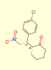 O=C1CCCC[C@@H]1[C@H](C[N+](=O)[O-])c1ccc(Cl)cc1